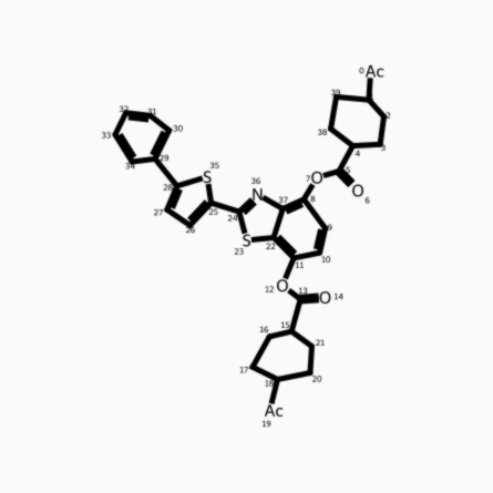 CC(=O)C1CCC(C(=O)Oc2ccc(OC(=O)C3CCC(C(C)=O)CC3)c3sc(-c4ccc(-c5ccccc5)s4)nc23)CC1